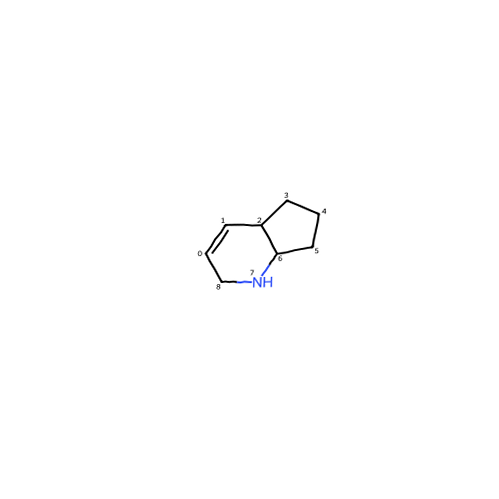 C1=CC2CCCC2NC1